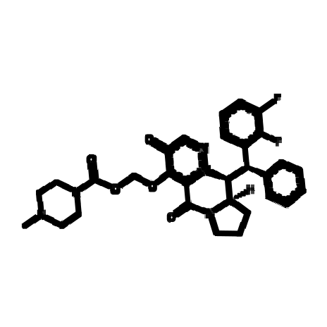 CN1CCN(C(=O)OCOc2c3n(ncc2=O)[C@@H]([C@H](c2ccccc2)c2cccc(F)c2F)[C@H]2CCCN2C3=O)CC1